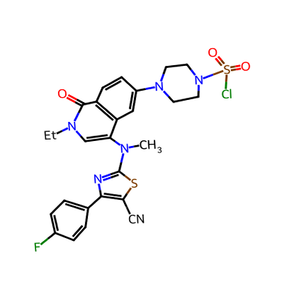 CCn1cc(N(C)c2nc(-c3ccc(F)cc3)c(C#N)s2)c2cc(N3CCN(S(=O)(=O)Cl)CC3)ccc2c1=O